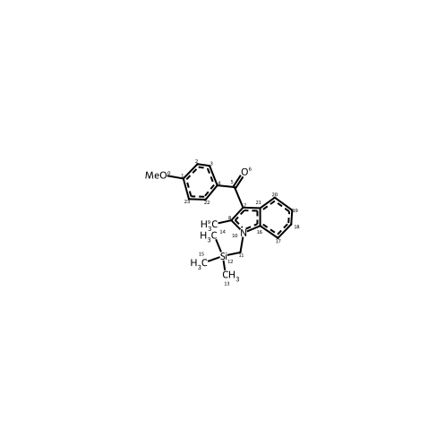 COc1ccc(C(=O)c2c(C)n(C[Si](C)(C)C)c3ccccc23)cc1